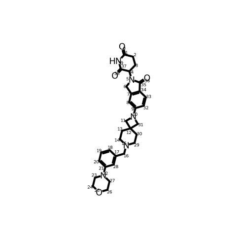 O=C1CCC(N2Cc3cc(N4CC5(CCN(Cc6cccc(N7CCOCC7)c6)CC5)C4)ccc3C2=O)C(=O)N1